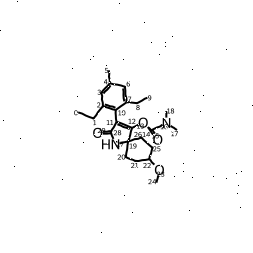 CCc1cc(C)cc(CC)c1C1=C(OC(=O)N(C)C)C2(CCC(OC)CC2)NC1=O